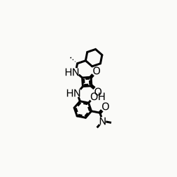 C[C@@H](Nc1c(Nc2cccc(C(=O)N(C)C)c2O)c(=O)c1=O)C1CCCCC1